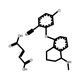 CNC1CCCc2c(Oc3cc(Cl)ccc3C#N)cccc21.O=C(O)/C=C/C(=O)O